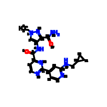 Cn1cc(NC(=O)c2ccnc(-c3ccnc(NCC4CC4)c3)n2)c(C(N)=O)n1